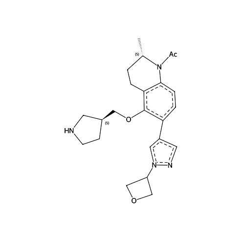 CC(=O)N1c2ccc(-c3cnn(C4COC4)c3)c(OC[C@H]3CCNC3)c2CC[C@@H]1C